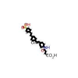 COc1cc(/C=C/c2ccc(S(=O)O)cc2)ccc1/C=C/c1ccc(NC(=O)CCC(=O)O)cc1